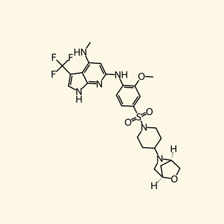 CNc1cc(Nc2ccc(S(=O)(=O)N3CCC(N4C[C@H]5C[C@@H]4CO5)CC3)cc2OC)nc2[nH]cc(C(F)(F)F)c12